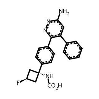 Nc1cc(-c2ccccc2)c(-c2ccc([C@]3(NC(=O)O)C[C@H](F)C3)cc2)nn1